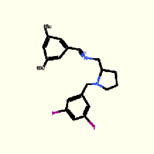 CC(C)(C)c1cc(/C=N/CC2CCCN2Cc2cc(I)cc(I)c2)cc(C(C)(C)C)c1